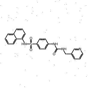 O=C(NCc1cccnc1)Nc1ccc(S(=O)(=O)Nc2cccc3ccccc23)cc1